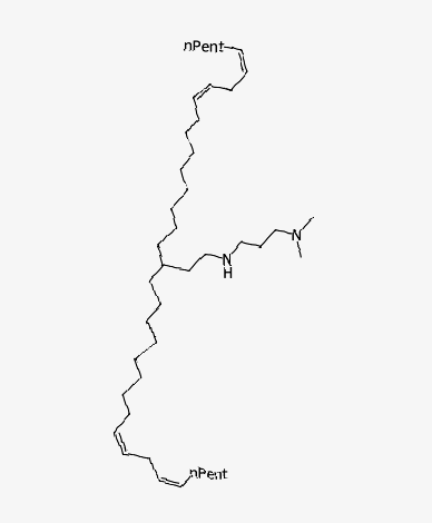 CCCCC/C=C\C/C=C\CCCCCCCCC(CCCCCCCC/C=C\C/C=C\CCCCC)CCNCCCN(C)C